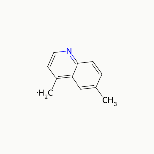 [CH2]c1ccnc2ccc(C)cc12